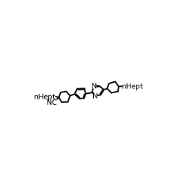 CCCCCCCC1CCC(c2cnc(-c3ccc(C4CCC(C#N)(CCCCCCC)CC4)cc3)nc2)CC1